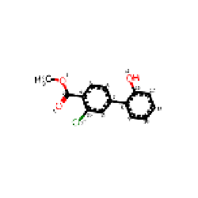 COC(=O)c1ccc(-c2ccccc2O)cc1Cl